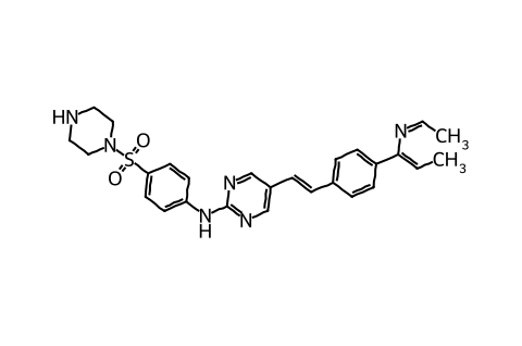 C/C=N\C(=C/C)c1ccc(/C=C/c2cnc(Nc3ccc(S(=O)(=O)N4CCNCC4)cc3)nc2)cc1